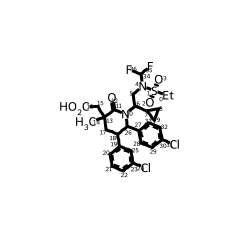 CCS(=O)(=O)N(CC(C1CC1)N1C(=O)C(C)(CC(=O)O)CC(c2cccc(Cl)c2)C1c1ccc(Cl)cc1)C(F)F